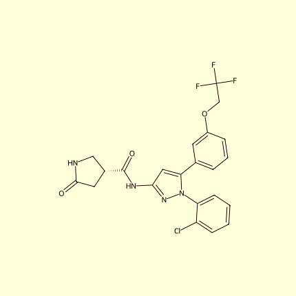 O=C1C[C@@H](C(=O)Nc2cc(-c3cccc(OCC(F)(F)F)c3)n(-c3ccccc3Cl)n2)CN1